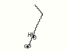 CCCCCCCC/C=C\CCCCCCCCCCCCNC(=O)CCCCCOC(C)=O